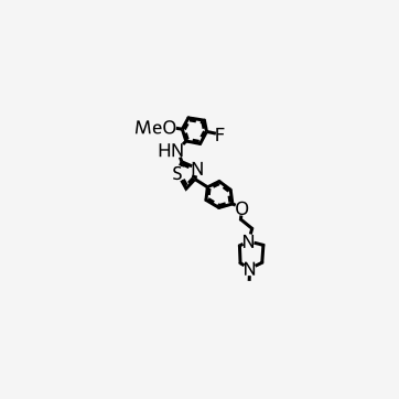 COc1ccc(F)cc1Nc1nc(-c2ccc(OCCN3CCN(C)CC3)cc2)cs1